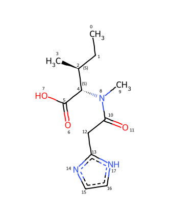 CC[C@H](C)[C@@H](C(=O)O)N(C)C(=O)Cc1ncc[nH]1